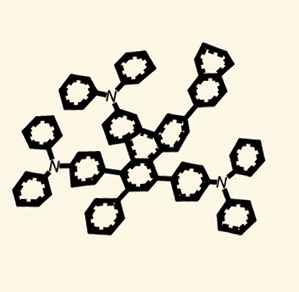 c1ccc(-c2cc(-c3ccc(N(c4ccccc4)c4ccccc4)cc3)c3c4ccc(-c5ccc6ccccc6c5)cc4c4cc(N(c5ccccc5)c5ccccc5)ccc4c3c2-c2ccc(N(c3ccccc3)c3ccccc3)cc2)cc1